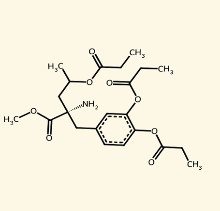 CCC(=O)Oc1ccc(C[C@](N)(CC(C)OC(=O)CC)C(=O)OC)cc1OC(=O)CC